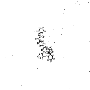 C[C@H]1COCCN1c1cc(C2(S(=O)(=O)c3ccc(F)cc3)CC2)nc(-c2cnc(NC(=O)Oc3ccccc3)nc2)n1